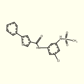 CS(=O)(=O)Nc1cc(Cl)cc(NC(=O)c2csc(-c3ccccc3)c2)c1